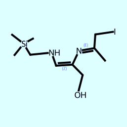 C/C(CI)=N\C(=C/NC[Si](C)(C)C)CO